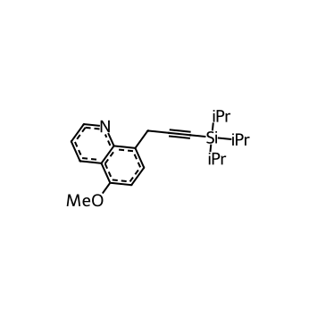 COc1ccc(CC#C[Si](C(C)C)(C(C)C)C(C)C)c2ncccc12